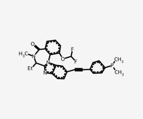 CCC1c2nc3ccc(C#Cc4ccc(P(C)C)cc4)cc3n2-c2c(OC(F)F)cccc2C(=O)N1C